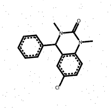 CN1C(=O)N(C)C(c2ccccc2)c2cc(Cl)ccc21